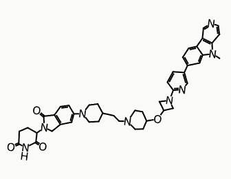 Cn1c2ccncc2c2ccc(-c3ccc(N4CC(OC5CCN(CCC6CCN(c7ccc8c(c7)CN(C7CCC(=O)NC7=O)C8=O)CC6)CC5)C4)nc3)cc21